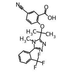 Cn1c(-c2ccccc2C(F)(F)F)nnc1C(C)(C)Oc1ccc(C#N)cc1C(=O)O